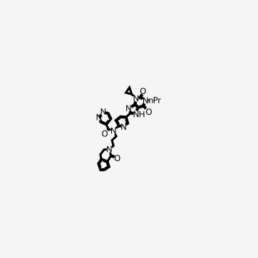 CCCn1c(=O)c2[nH]c(-c3ccc(N(CCCN4CCc5ccccc5C4=O)C(=O)c4ccnnc4)nc3)nc2n(C2CC2)c1=O